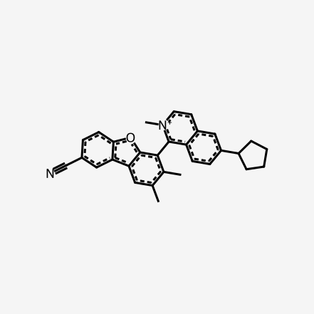 Cc1cc2c(oc3ccc(C#N)cc32)c(-c2c3ccc(C4CCCC4)cc3cc[n+]2C)c1C